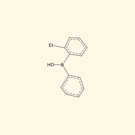 [CH2]Cc1ccccc1B(O)c1ccccc1